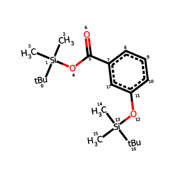 CC(C)(C)[Si](C)(C)OC(=O)c1cccc(O[Si](C)(C)C(C)(C)C)c1